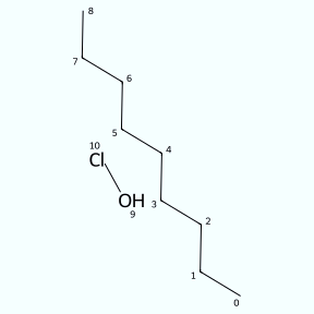 CCCCCCCCC.OCl